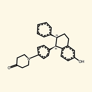 O=C1CCN(c2ccc([C@@H]3c4ccc(O)cc4CC[C@@H]3c3ccccc3)cc2)CC1